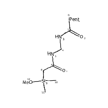 CCCC(C)C(=O)NCNC(=O)C[Si](C)(C)OC